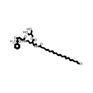 CCC=CCC=CCC=CCC=CCC=CCC=CCCC(=O)NCCC(CCNC(=O)C1=CC(=O)C(C)(c2ccccc2)O1)C(=O)OCC(CO)CO